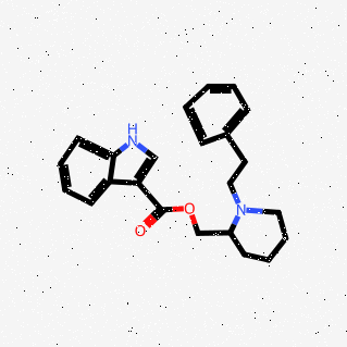 O=C(OCC1CCCCN1CCc1ccccc1)c1c[nH]c2ccccc12